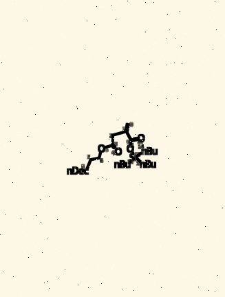 C=C(CC(=O)OCCCCCCCCCCCC)C(=O)O[Si](CCCC)(CCCC)CCCC